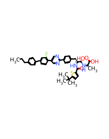 CCCc1ccc(-c2ccc(-c3cnc(-c4ccc(C[C@H](NC(=O)c5ccc(C(C)(C)C)s5)C(O)N[C@H](C)C(=O)O)cc4)nc3)c(F)c2)cc1